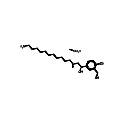 CC(=O)O.NCCCCCCCCCCCNC[C@H](O)c1ccc(O)c(CO)c1